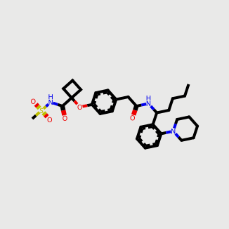 CCCCC(NC(=O)Cc1ccc(OC2(C(=O)NS(C)(=O)=O)CCC2)cc1)c1ccccc1N1CCCCC1